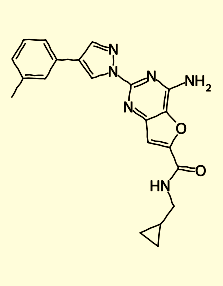 Cc1cccc(-c2cnn(-c3nc(N)c4oc(C(=O)NCC5CC5)cc4n3)c2)c1